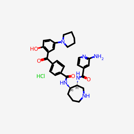 Cl.Nc1cc(C(=O)N[C@@H]2CNCCC[C@H]2NC(=O)c2ccc(C(=O)c3cc(N4CCCCC4)ccc3O)cc2)ccn1